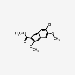 COC(=O)c1cc2cc(Cl)c(OC)cc2cc1OC